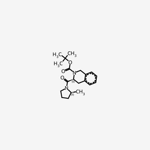 C[C@H]1CCCN1C(=O)[C@@H]1Cc2ccccc2CN1C(=O)OC(C)(C)C